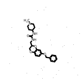 CN1CCC(NC(=O)NCC2COc3ccc(OCc4ccccc4)cc3O2)CC1